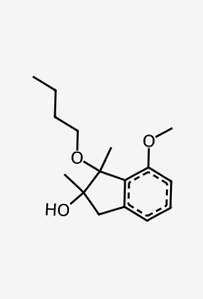 CCCCOC1(C)c2c(cccc2OC)CC1(C)O